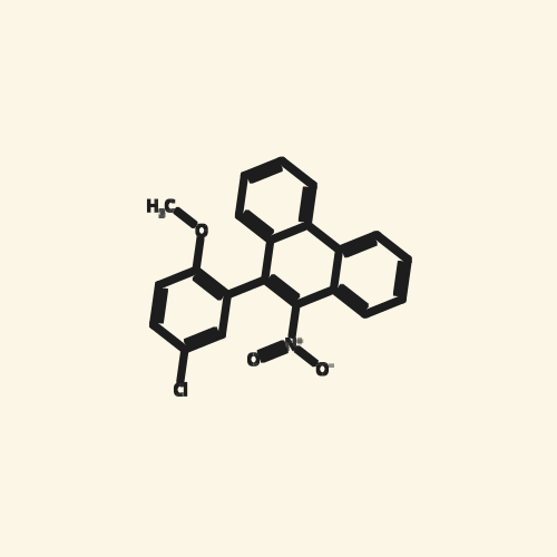 COc1ccc(Cl)cc1-c1c([N+](=O)[O-])c2ccccc2c2ccccc12